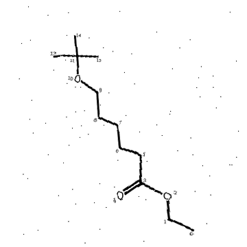 CCOC(=O)CCCCCOC(C)(C)C